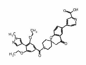 CCOc1cc(C(=O)N2CCC3(CC2)CC(=O)c2cc(-c4ccnc(C(=O)O)c4)ccc2O3)cc(OCC)c1-c1cnn(C)c1